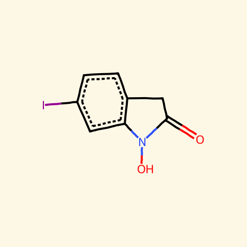 O=C1Cc2ccc(I)cc2N1O